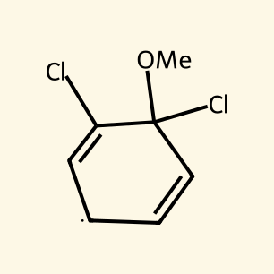 COC1(Cl)C=C[CH]C=C1Cl